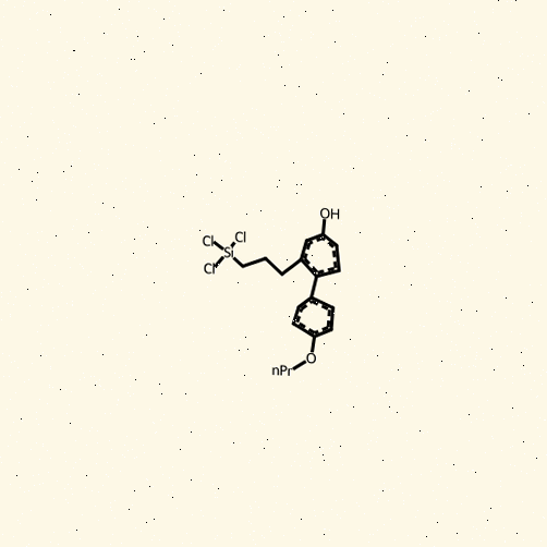 CCCOc1ccc(-c2ccc(O)cc2CCC[Si](Cl)(Cl)Cl)cc1